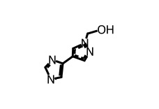 OCn1cc(C2=C[N]C=N2)cn1